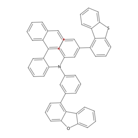 c1cc(-c2cccc3oc4ccccc4c23)cc(N(c2cccc(-c3cccc4sc5ccccc5c34)c2)c2ccccc2-c2cccc3ccccc23)c1